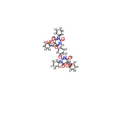 O=C1N(Cc2cccc(CN3C(=O)N(c4ccccc4)C(=O)C(O)(Cc4ccccc4)C3=O)c2)C(=O)C(O)(Cc2ccccc2)C(=O)N1c1ccccc1